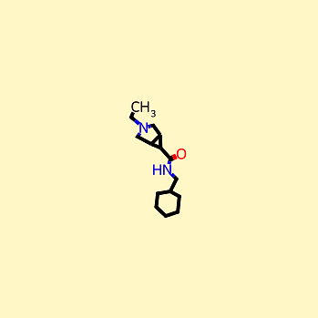 CCN1CC2C(C1)C2C(=O)NCC1CCCCC1